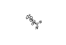 CC1(C)c2ccccc2-c2c1ccc1c2oc2c1ccc1c2c2ccccc2n1-c1cc(-c2ccncc2)cc(-c2ccncc2)c1